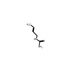 CC=CCNC(N)=S